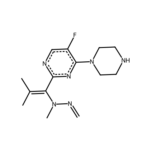 C=NN(C)C(=C(C)C)c1ncc(F)c(N2CCNCC2)n1